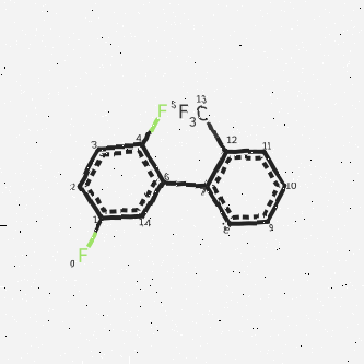 Fc1ccc(F)c(-c2[c]cccc2C(F)(F)F)c1